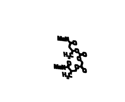 CNC(=O)CC(C)OC(=O)OCC(=O)OCC(C)C(=O)NC